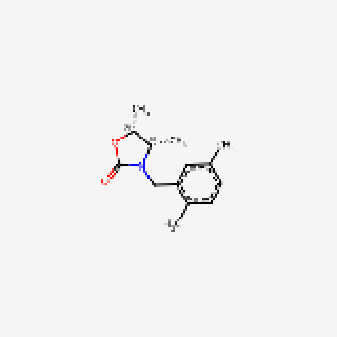 Cc1ccc(C)c(CN2C(=O)O[C@H](C)[C@@H]2C)c1